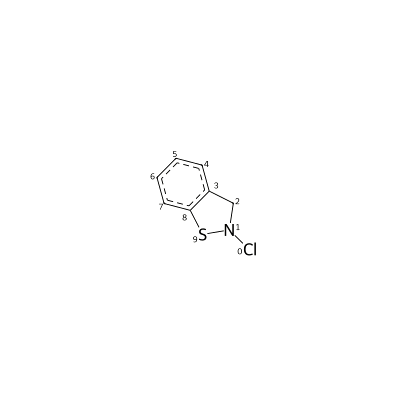 ClN1Cc2ccccc2S1